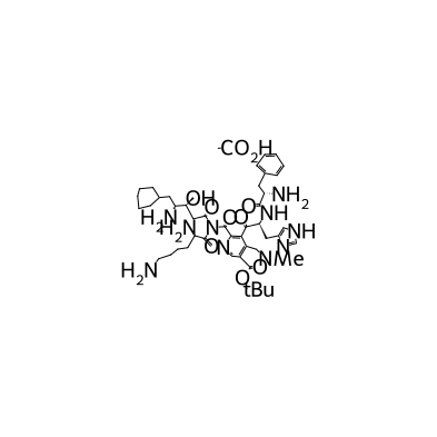 CC(=O)O.CNCc1c(C(=O)OC(C)(C)C)cnc(C(=O)N(C(=O)C[C@H](O)[C@@H](N)CC2CCCCC2)C(=O)[C@@H](N)CCCCN)c1C(=O)[C@H](Cc1c[nH]cn1)NC(=O)[C@@H](N)Cc1ccccc1